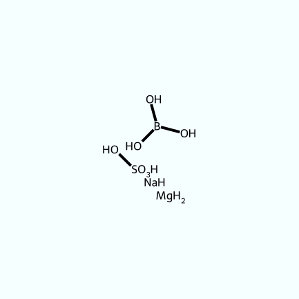 O=S(=O)(O)O.OB(O)O.[MgH2].[NaH]